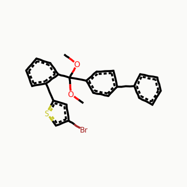 COC(OC)(c1ccc(-c2ccccc2)cc1)c1ccccc1-c1cc(Br)cs1